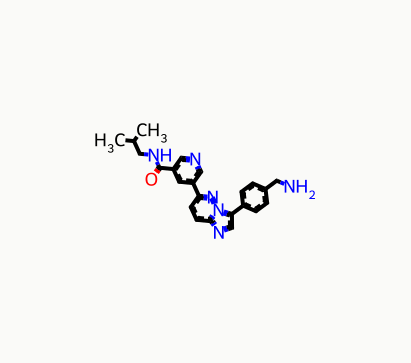 CC(C)CNC(=O)c1cncc(-c2ccc3ncc(-c4ccc(CN)cc4)n3n2)c1